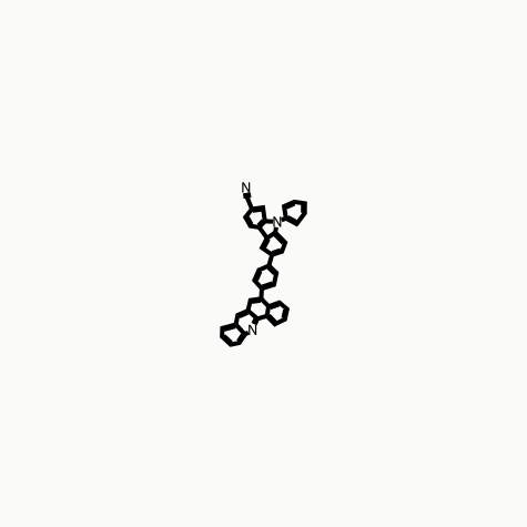 N#Cc1ccc2c3cc(-c4ccc(-c5cc6cc7ccccc7nc6c6ccccc56)cc4)ccc3n(-c3ccccc3)c2c1